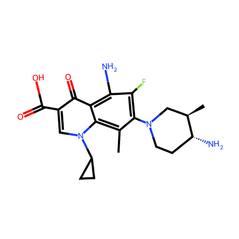 Cc1c(N2CC[C@@H](N)[C@H](C)C2)c(F)c(N)c2c(=O)c(C(=O)O)cn(C3CC3)c12